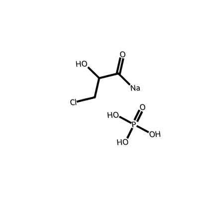 O=P(O)(O)O.O=[C]([Na])C(O)CCl